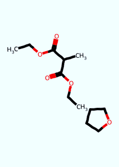 C1CCOC1.CCOC(=O)C(C)C(=O)OCC